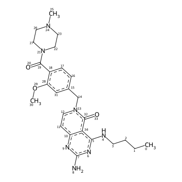 CCCCNc1nc(N)nc2ccn(Cc3ccc(C(=O)N4CCN(C)CC4)c(OC)c3)c(=O)c12